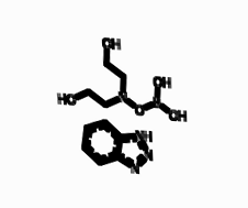 OCCN(CCO)OB(O)O.c1ccc2[nH]nnc2c1